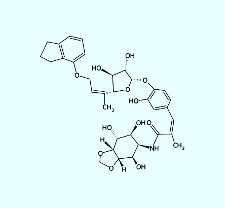 CC(=Cc1ccc(O[C@@H]2O[C@H](C(C)=CCOc3cccc4c3CCC4)[C@@H](O)[C@@H]2O)c(O)c1)C(=O)N[C@@H]1[C@H](O)[C@@H](O)[C@H]2OCO[C@H]2[C@@H]1O